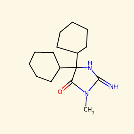 CN1C(=N)NC(C2CCCCC2)(C2CCCCC2)C1=O